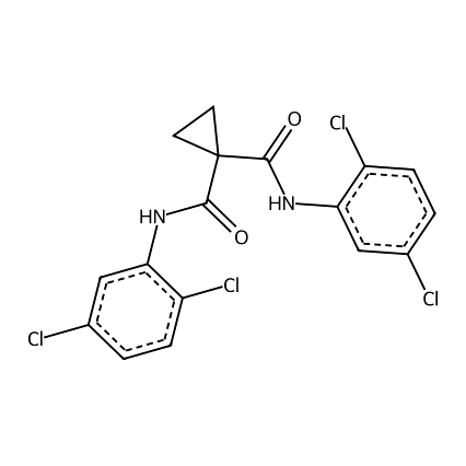 O=C(Nc1cc(Cl)ccc1Cl)C1(C(=O)Nc2cc(Cl)ccc2Cl)CC1